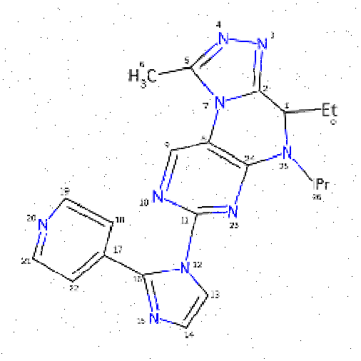 CCC1c2nnc(C)n2-c2cnc(-n3ccnc3-c3ccncc3)nc2N1C(C)C